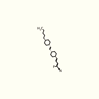 CCCCC[C@H]1CC[C@H](C=C[C@H]2CC[C@H](C=CC=C(F)C#N)CC2)CC1